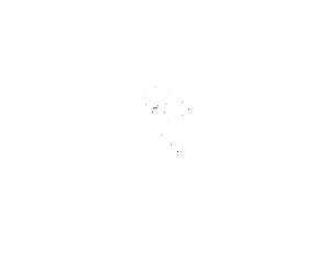 Cc1cc(C)c2ncc(C(=O)NCCC3CC3)n2n1